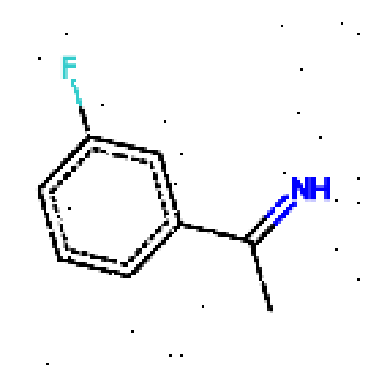 CC(=N)c1cccc(F)c1